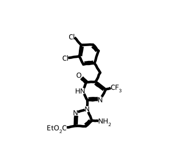 CCOC(=O)c1cc(N)n(-c2nc(C(F)(F)F)c(Cc3ccc(Cl)c(Cl)c3)c(=O)[nH]2)n1